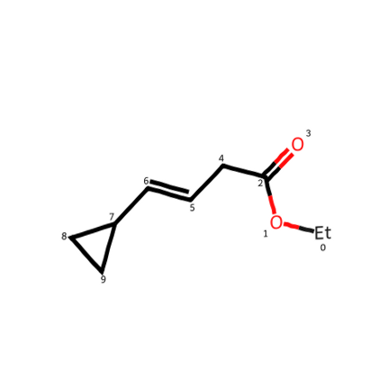 CCOC(=O)CC=CC1CC1